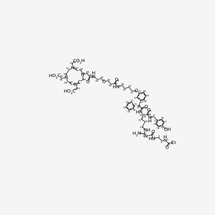 CCC(=O)NCCNC(=O)/N=C(/N)NCCC[C@@H](NC(=O)[C@H](c1ccccc1)c1cccc(OCCCCNC(=O)CCOCCNC(=O)CN2CCN(CC(=O)O)CCN(CC(=O)O)CCN(CC(=O)O)CC2)c1)C(=O)NCc1ccc(O)cc1